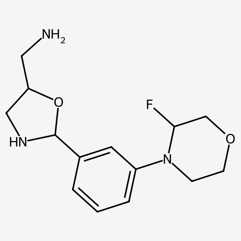 NCC1CNC(c2cccc(N3CCOCC3F)c2)O1